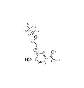 COC(=O)c1ccc(N)c(OCCO[Si](C)(C)C(C)(C)C)c1